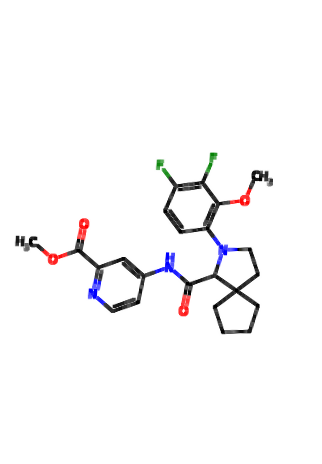 COC(=O)c1cc(NC(=O)C2N(c3ccc(F)c(F)c3OC)CCC23CCCC3)ccn1